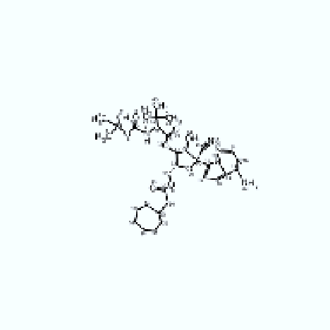 CC(C)(C)OC(=O)N[C@H](C(=O)O[C@H]1[C@@H](O)[C@](C#N)(c2ccc3c(N)ncnn23)O[C@@H]1COC(=O)CC1CCCCCC1)C(C)(C)C